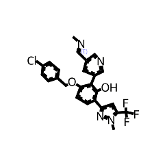 C/N=C/c1cncc(-c2c(OCc3ccc(Cl)cc3)ccc(-c3cc(C(F)(F)F)n(C)n3)c2O)c1